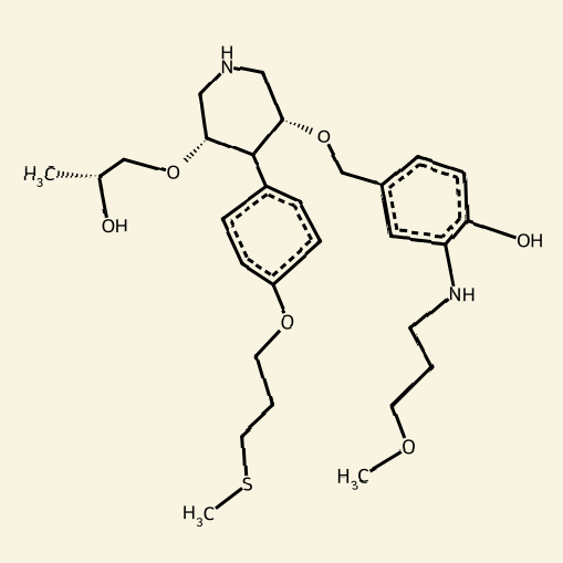 COCCCNc1cc(CO[C@H]2CNC[C@@H](OC[C@@H](C)O)C2c2ccc(OCCCSC)cc2)ccc1O